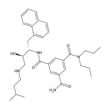 CCCN(CCC)C(=O)c1cc(C(N)=O)cc(C(=O)N[C@@H](Cc2cccc3ccccc23)[C@H](O)CNCCC(C)C)c1